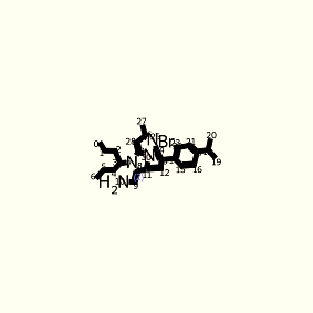 CCCC(CCC)n1/c(=C\N)c2cc(-c3ccc(C(C)C)cc3Br)c3nc(C)cc1n32